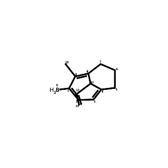 BC1=CC=C2CCCC(=C1C)C2C=C